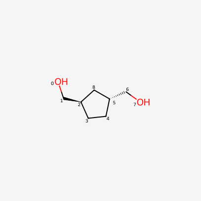 OC[C@@H]1CC[C@@H](CO)C1